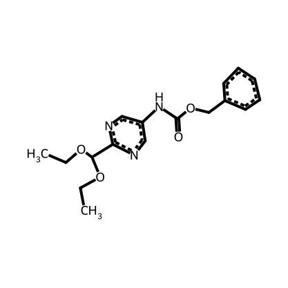 CCOC(OCC)c1ncc(NC(=O)OCc2ccccc2)cn1